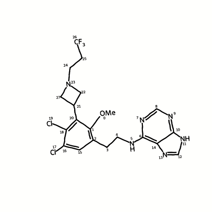 COc1c(CCNc2ncnc3[nH]cnc23)cc(Cl)c(Cl)c1C1CN(CCC(F)(F)F)C1